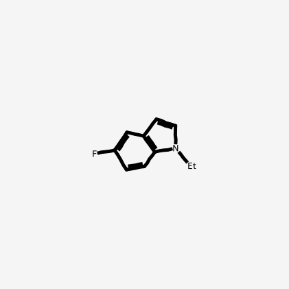 [CH2-][CH+]n1ccc2cc(F)ccc21